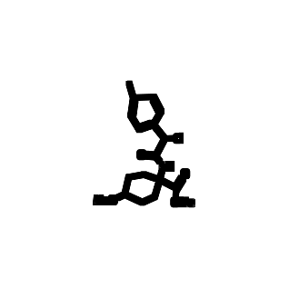 COC(=O)C1(NC(=O)C(Cl)c2ccc(C)cc2)CCC(OC)CC1